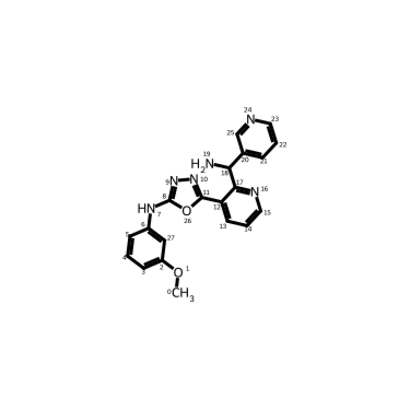 COc1cccc(Nc2nnc(-c3cccnc3C(N)c3cccnc3)o2)c1